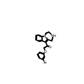 O=C(COc1cccc(Br)c1)c1c2n(c3ccccc13)CCNCC2